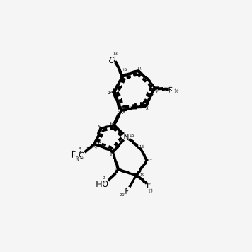 OC1c2c(C(F)(F)F)cc(-c3cc(F)cc(Cl)c3)n2CCC1(F)F